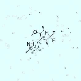 C=CC(OC)[C@@H](C(=C)C(F)(F)F)[C@@H](C)[C@H](C)[C@H](C)[C@@H](C)N